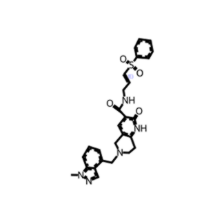 Cn1ncc2c(CN3CCc4[nH]c(=O)c(C(=O)NC/C=C/S(=O)(=O)c5ccccc5)cc4C3)cccc21